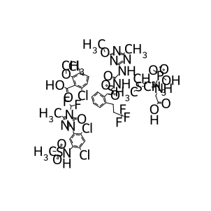 COc1c(Cl)ccc(Cl)c1C(=O)O.COc1nc(C)nc(NC(=O)NS(=O)(=O)c2ccccc2CCC(F)(F)F)n1.C[S+](C)C.Cc1nn(-c2cc(NS(C)(=O)=O)c(Cl)cc2Cl)c(=O)n1C(F)F.O=C(O)CNCP(=O)([O-])O